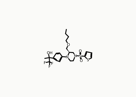 CCCCOC[C@H]1CN(S(=O)(=O)c2cccs2)CCN1c1ccc(C(C)(O)C(F)(F)F)cc1